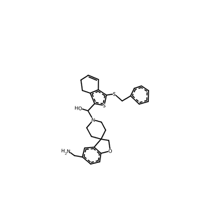 NCc1ccc2c(c1)C1(CCN(C(O)c3sc(SCc4ccccc4)c4c3CCC=C4)CC1)CO2